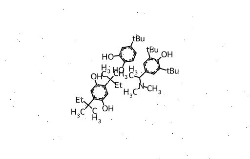 CC(C)(C)c1ccc(O)c(O)c1.CC(c1cc(C(C)(C)C)c(O)c(C(C)(C)C)c1)N(C)C.CCC(C)(C)c1cc(O)c(C(C)(C)CC)cc1O